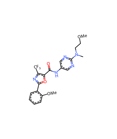 COCCN(C)c1ncc(NC(=O)c2oc(-c3ccccc3OC)nc2C(F)(F)F)cn1